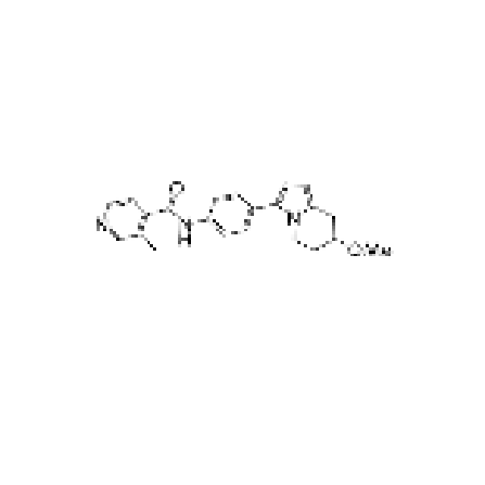 COC1CCn2c(ccc2-c2ccc(NC(=O)c3ccncc3C)cc2)C1